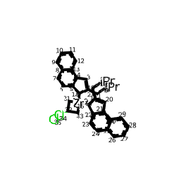 CC(C)CC1=Cc2c(ccc3ccccc23)[CH]1[Zr+2]1([CH]2C(CC(C)C)=Cc3c2ccc2ccccc32)[CH2]C[CH2]1.[Cl-].[Cl-]